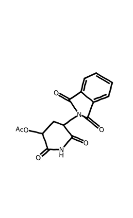 CC(=O)OC1CC(N2C(=O)c3ccccc3C2=O)C(=O)NC1=O